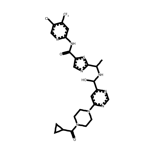 CC(NC(O)c1cc(N2CCN(C(=O)C3CC3)CC2)ncn1)c1ncc(C(=O)Nc2cc(C(F)(F)F)c(Cl)cn2)s1